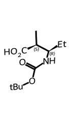 CC[C@@H](NC(=O)OC(C)(C)C)[C@H](C)C(=O)O